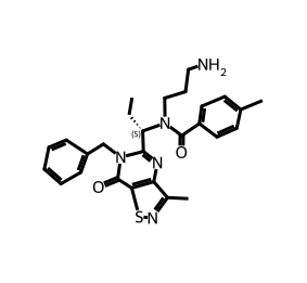 CC[C@@H](c1nc2c(C)nsc2c(=O)n1Cc1ccccc1)N(CCCN)C(=O)c1ccc(C)cc1